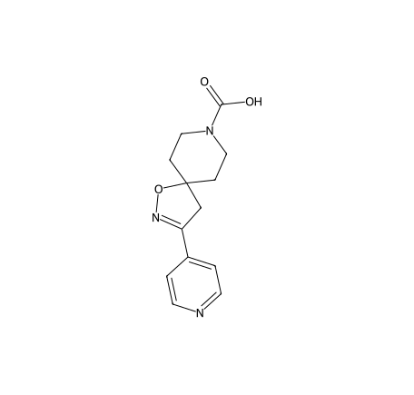 O=C(O)N1CCC2(CC1)CC(c1ccncc1)=NO2